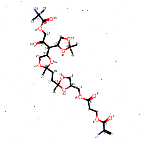 C=C(I)C(=O)OCCC(=O)OCC1COC(C)(CCC2(C)OCC(C(C(=O)COC(=O)C(C)(C)I)C3COC(C)(C)O3)O2)O1